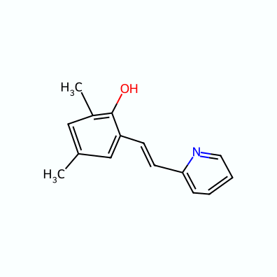 Cc1cc(C)c(O)c(C=Cc2ccccn2)c1